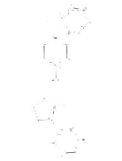 O=C1N(CCN2CCC3(CC2)OCc2ccccc23)CCN1c1ccccc1